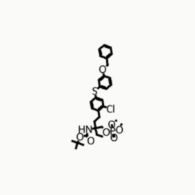 CCC(CCc1ccc(Sc2cccc(OCc3ccccc3)c2)cc1Cl)(COP(=O)(OC)OC)NC(=O)OC(C)(C)C